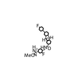 CON=C(N)c1ccc(CNC(=O)c2ccc3c(c2)[C@@H]2O[C@H]3c3ccc(-c4ccc(F)cc4)cc32)c(F)c1